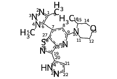 Cc1nnn(C)c1-c1cc(N2CCOCC2C)nc2c(-c3ccn[nH]3)nsc12